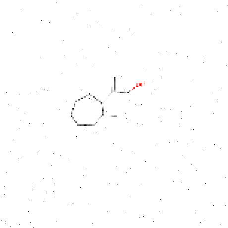 C=C(CO)C1CCCCC[C@H]1C